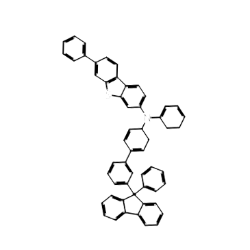 C1=CCCC(N(c2ccc3c(c2)sc2cc(-c4ccccc4)ccc23)C2C=CC(c3cccc(C4(c5ccccc5)c5ccccc5-c5ccccc54)c3)=CC2)=C1